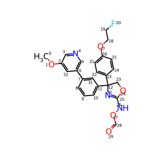 COc1cncc(-c2cccc(C3(c4ccc(OCCF)cc4)COC(NOC=O)=N3)c2)c1